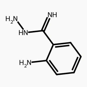 N=C(NN)c1ccccc1N